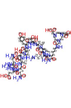 CC(C)[C@H](NC(=O)[C@H](CCC(N)=O)NC(=O)[C@H](CCC(=O)O)NC(=O)[C@H](CCC(N)=O)NN)C(=O)N[C@@H](CO)C(=O)N1CCC[C@H]1C(=O)N[C@@H](Cc1ccc(O)cc1)C(=O)N[C@H](C(=O)N[C@H]1CC(C)N([C@H]2CC(C)N([C@@H](CCCCN)C(=O)NC(CCCCNC(=O)CN3CCN(CC(=O)O)CCN(CC(=O)O)CC3)C(N)=O)C2=O)C1=O)C(C)O